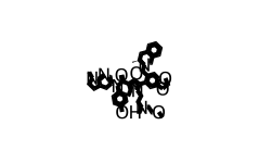 COCCN(C)CCn1c(-c2cc3c(cc2C(=O)N2Cc4ccccc4C[C@H]2C)OCO3)cc(C(=O)N(C2=CN=C3C(CCN3C)C2)c2ccc(O)cc2)c1C